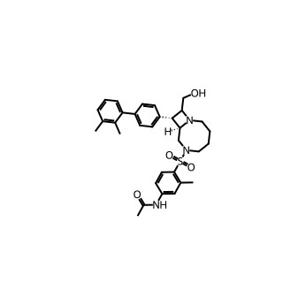 CC(=O)Nc1ccc(S(=O)(=O)N2CCCCN3C(CO)[C@@H](c4ccc(-c5cccc(C)c5C)cc4)[C@@H]3C2)c(C)c1